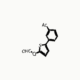 CC(=O)c1cccc(-c2ccc(OC=O)s2)c1